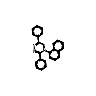 c1ccc(C2=NN=C(c3ccccc3)N(c3cccc4ccccc34)C2)cc1